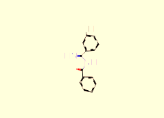 Cc1cccc(C(=N)NC(=O)c2ccccc2)c1